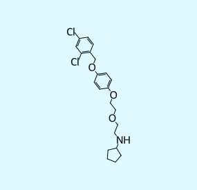 Clc1ccc(COc2ccc(OCCOCCNC3CCCC3)cc2)c(Cl)c1